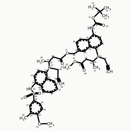 C#CCN(c1ccc(NC(=O)OC(C)(C)C)c2ccc(COC(=O)C[C@H](C)N(CC#C)c3ccc(NS(=O)(=O)c4ccc(OC)c(C)c4)c4ccccc34)cc12)[C@@H](C)CC(=O)OC